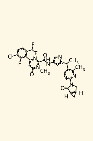 Cc1nc(N2C[C@H]3C[C@H]3C2=O)ncc1C(C)n1cc(NC(=O)c2nc(-c3c(C(F)F)ccc(Cl)c3F)cc(=O)n2C)cn1